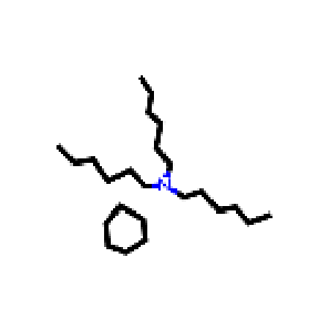 C1CCCCC1.CCCCCCN(CCCCCC)CCCCCC